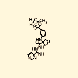 CC(C)(C)OC(=O)c1cccc(NC2(C(=O)NNC(=N)c3ccncn3)CCOC2)c1